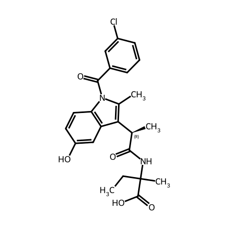 CCC(C)(NC(=O)[C@H](C)c1c(C)n(C(=O)c2cccc(Cl)c2)c2ccc(O)cc12)C(=O)O